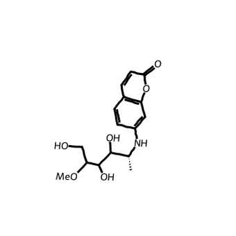 COC(CO)C(O)C(O)[C@@H](C)Nc1ccc2ccc(=O)oc2c1